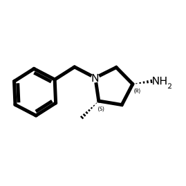 C[C@H]1C[C@@H](N)CN1Cc1ccccc1